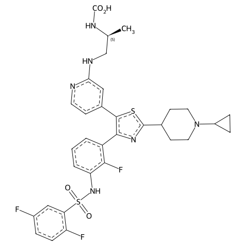 C[C@@H](CNc1cc(-c2sc(C3CCN(C4CC4)CC3)nc2-c2cccc(NS(=O)(=O)c3cc(F)ccc3F)c2F)ccn1)NC(=O)O